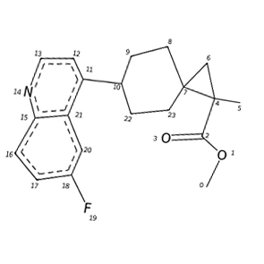 COC(=O)C1(C)CC12CCC(c1ccnc3ccc(F)cc13)CC2